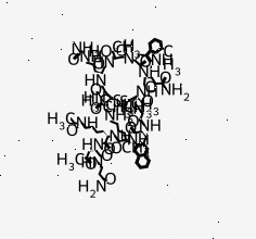 CC(=O)C[C@H](NC(=O)[C@H](CCCCNC(C)=O)NC(=O)[C@](C)(CCCCN)NC(=O)[C@H](Cc1ccc2ccccc2c1)NC(=O)CNC(=O)[C@H]1NC(=O)[C@H](CCC(N)=O)NC(=O)[C@H](Cc2c[nH]c3c(C)cccc23)NC(=O)[C@H]([C@@H](C)O)NC(=O)[C@H](CCCNC(N)=O)NC(=O)[C@@H](NC(C)=O)C(C)(C)SSC1(C)C)C(=O)NCCC(N)=O